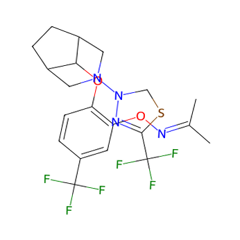 CC(C)=NOc1cc(C(F)(F)F)ccc1OC1C2CCC1CN(N1CSC(C(F)(F)F)=N1)C2